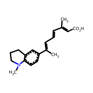 CC(C=CC=C(C)c1ccc2c(c1)CCCN2C)=CC(=O)O